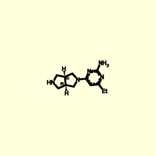 CCc1cc(N2C[C@H]3CNC[C@H]3C2)nc(N)n1